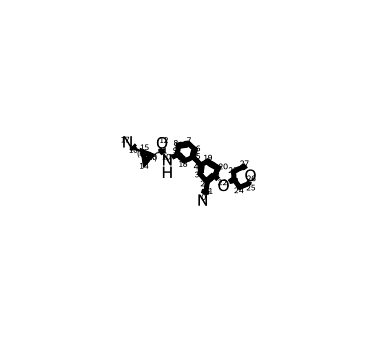 N#Cc1cc(-c2cccc(NC(=O)[C@@H]3C[C@H]3C#N)c2)ccc1OC1CCOCC1